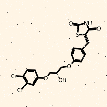 O=C1NC(=O)/C(=C/c2ccc(OC[C@H](O)COc3ccc(Cl)c(Cl)c3)cc2)S1